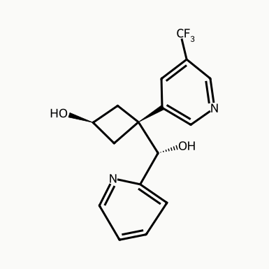 O[C@H](c1ccccn1)[C@]1(c2cncc(C(F)(F)F)c2)C[C@@H](O)C1